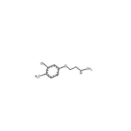 CBCCOc1ccc(C)c(Cl)c1